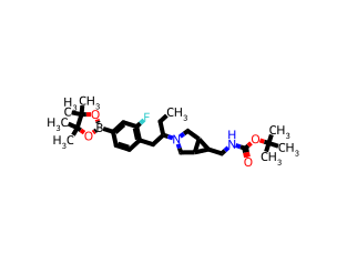 CCC(Cc1ccc(B2OC(C)(C)C(C)(C)O2)cc1F)N1CC2C(CNC(=O)OC(C)(C)C)C2C1